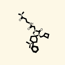 CN(C)C(=O)CCNC(=O)CN1C[C@]2(CC[C@](c3ccccc3)(N(C)C)CC2)N(CC2CCC2)C1=O